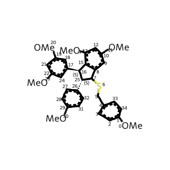 COc1ccc(CSC2c3cc(OC)cc(OC)c3[C@H](c3cc(OC)cc(OC)c3)[C@H]2c2ccc(OC)cc2)cc1